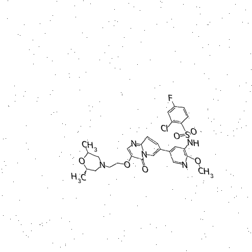 COc1ncc(-c2ccc3ncc(OCCN4CC(C)O[C@H](C)C4)c(=O)n3c2)cc1NS(=O)(=O)c1ccc(F)cc1Cl